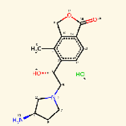 Cc1c([C@@H](O)CN2CC[C@@H](N)C2)ccc2c1COC2=O.Cl